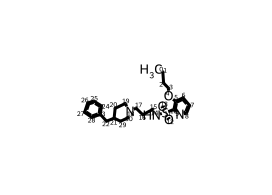 CCCCOc1cccnc1S(=O)(=O)NCCCN1CCC(Cc2ccccc2)CC1